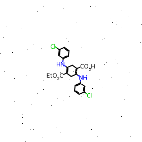 CCOC(=O)C1=C(Nc2cccc(Cl)c2)CC(C(=O)O)=C(Nc2cccc(Cl)c2)C1